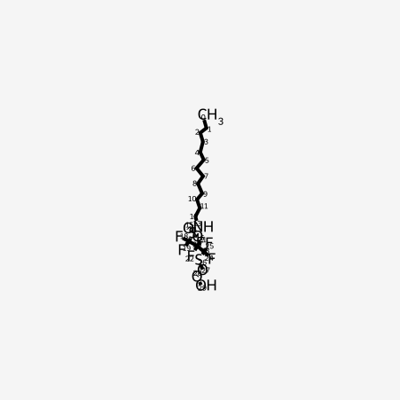 CCCCCCCCCCCCCNS(=O)(=O)C(F)(F)C(F)(F)C(F)(F)SOOO